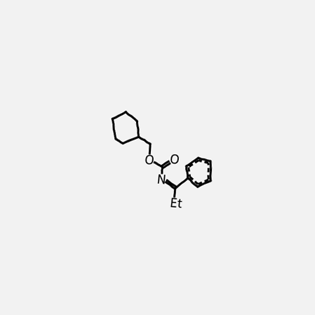 CC/C(=N/C(=O)OCC1CCCCC1)c1ccccc1